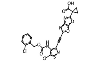 O=C(Nc1c(C#Cc2nc3nc(C4(C(=O)O)CC4)oc3o2)nsc1Cl)OCc1ccccc1Cl